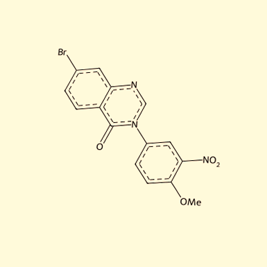 COc1ccc(-n2cnc3cc(Br)ccc3c2=O)cc1[N+](=O)[O-]